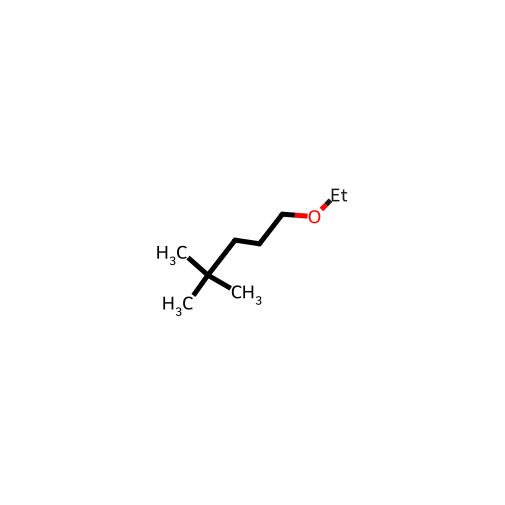 CCOCCCC(C)(C)C